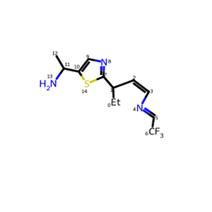 CCC(/C=C\N=C\C(F)(F)F)c1ncc(C(C)N)s1